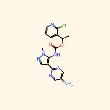 C[C@@H](OC(=O)Nc1c(-c2ncc(N)cn2)cnn1C)c1cccnc1Cl